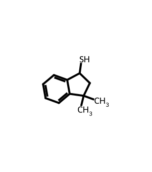 CC1(C)CC(S)c2ccccc21